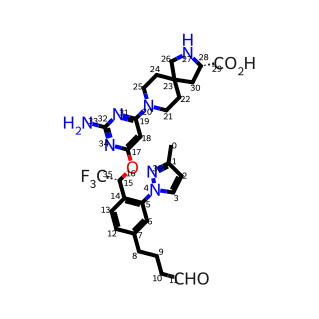 Cc1ccn(-c2cc(CCCC=O)ccc2[C@@H](Oc2cc(N3CCC4(CC3)CN[C@H](C(=O)O)C4)nc(N)n2)C(F)(F)F)n1